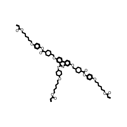 C=CC(=O)OCCCCCCOc1ccc(OC(=O)C2CCC(COc3ccc4c(c3)nc(SC3CCC(OCCCCCCOC(=O)C=C)CC3)c3cc(OCC5CCC(C(=O)Oc6ccc(OCCCCCCOC(=O)C=C)cc6)CC5)ccc34)CC2)cc1